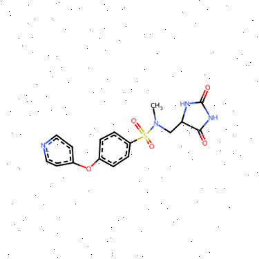 CN(CC1NC(=O)NC1=O)S(=O)(=O)c1ccc(Oc2ccncc2)cc1